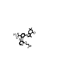 Cc1cn(-c2ccc(C(N)=O)c(Nc3ccnc(OCCN(C)C)c3)c2)c2c1C(=O)CC(C)(C)C2